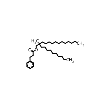 CCCCCCCCCCCCC(C)(CCCCCCCCCC)COC(=O)CCc1ccccc1